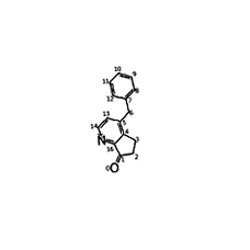 O=C1CCc2c(Cc3ccccc3)ccnc21